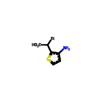 CCC(C(=O)O)c1sccc1N